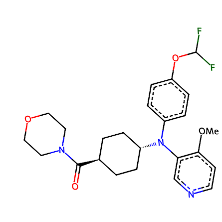 COc1ccncc1N(c1ccc(OC(F)F)cc1)[C@H]1CC[C@H](C(=O)N2CCOCC2)CC1